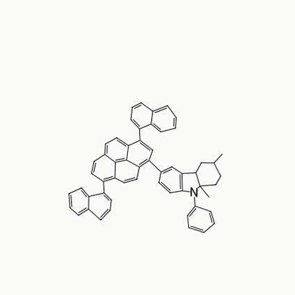 CC1CCC2(C)C(C1)c1cc(-c3cc(-c4cccc5ccccc45)c4ccc5ccc(-c6cccc7ccccc67)c6ccc3c4c56)ccc1N2c1ccccc1